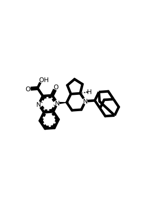 O=C(O)c1nc2ccccc2n([C@@H]2CCN(C3C4CC5CC(C4)CC3C5)[C@@H]3CCCC32)c1=O